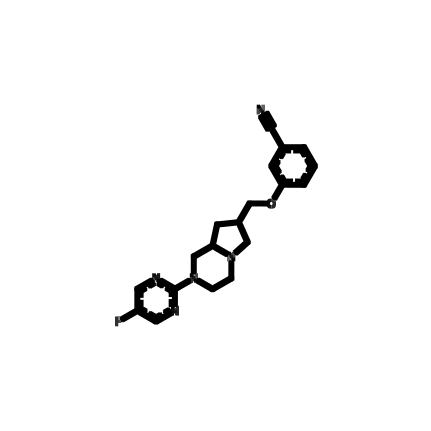 N#Cc1cccc(OCC2CC3CN(c4ncc(F)cn4)CCN3C2)c1